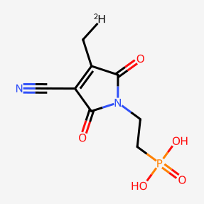 [2H]CC1=C(C#N)C(=O)N(CCP(=O)(O)O)C1=O